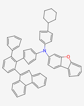 c1ccc(-c2cccc(-c3cc4ccccc4c4ccccc34)c2-c2ccc(N(c3ccc(C4CCCCC4)cc3)c3ccc4c(c3)oc3ccccc34)cc2)cc1